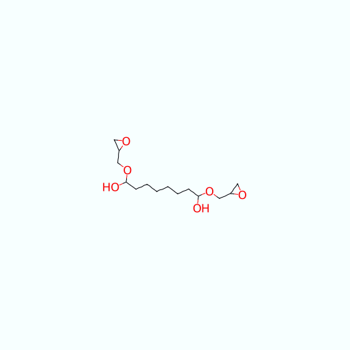 OC(CCCCCCC(O)OCC1CO1)OCC1CO1